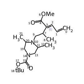 C=C/C=C(/C(=O)OC)C(C)CN1C(C)CN(C(=O)OC(C)(C)C)CC1C